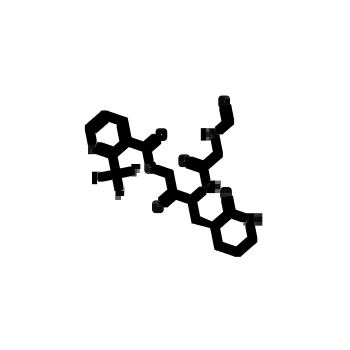 O=CNCC(=O)NC(C[C@@H]1CCCNC1=O)C(=O)COC(=O)c1cccnc1C(F)(F)F